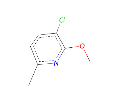 COc1nc(C)ccc1Cl